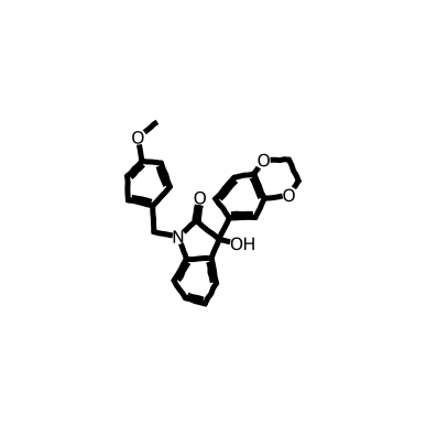 COc1ccc(CN2C(=O)C(O)(c3ccc4c(c3)OCCO4)c3ccccc32)cc1